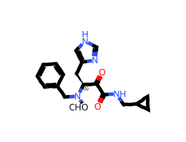 O=CN(Cc1ccccc1)[C@@H](Cc1c[nH]cn1)C(=O)C(=O)NCC1CC1